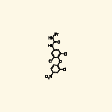 CC(C)NC(=O)Nc1cc(Cl)c(Oc2ccc([N+](=O)[O-])cc2Cl)c(Cl)c1